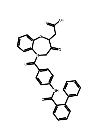 O=C(O)CC1Sc2ccccc2N(C(=O)c2ccc(NC(=O)c3ccccc3-c3ccccc3)cc2)CC1=O